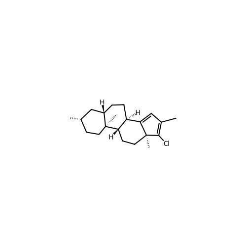 CC1=C(Cl)[C@@]2(C)CC[C@H]3[C@@H](CC[C@H]4C[C@@H](C)CC[C@@]43C)C2=C1